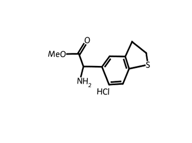 COC(=O)C(N)c1ccc2c(c1)CCS2.Cl